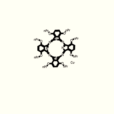 CCCOc1ccc(OCCC)c2c1-c1nc-2nc2[nH]c(nc3nc(nc4[nH]c(n1)c1c(OCCC)ccc(OCCC)c41)-c1c(OCCC)ccc(OCCC)c1-3)c1c(OCCC)ccc(OCCC)c21.[Cu]